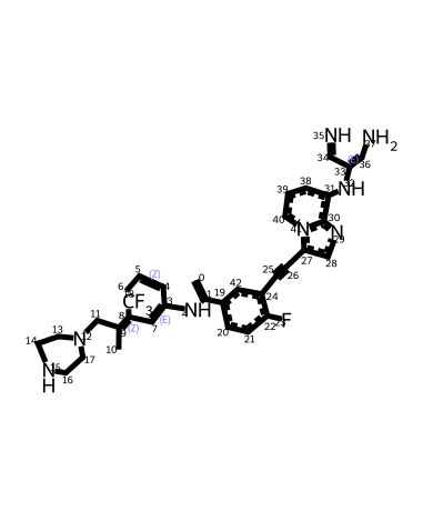 C=C(NC(/C=C\C)=C/C(=C(\C)CN1CCNCC1)C(F)(F)F)c1ccc(F)c(C#Cc2cnc3c(N/C(C=N)=C/N)cccn23)c1